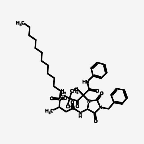 CCCCCCCCCCCCS(=O)(=O)C(C)CC(=O)NC1C(=O)N(Cc2ccccc2)C(=O)N1C(Cl)(C(=O)Nc1ccccc1)C(=O)C(C)(C)C